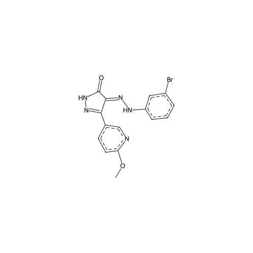 COc1ccc(C2=NNC(=O)/C2=N/Nc2cccc(Br)c2)cn1